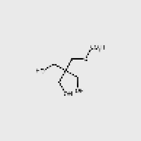 O=C(O)OCC(CO)(CO)CO